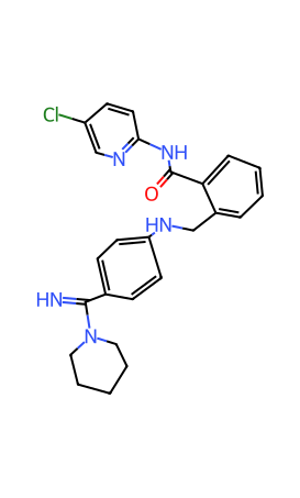 N=C(c1ccc(NCc2ccccc2C(=O)Nc2ccc(Cl)cn2)cc1)N1CCCCC1